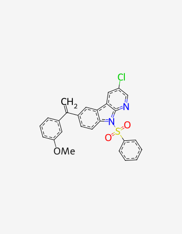 C=C(c1cccc(OC)c1)c1ccc2c(c1)c1cc(Cl)cnc1n2S(=O)(=O)c1ccccc1